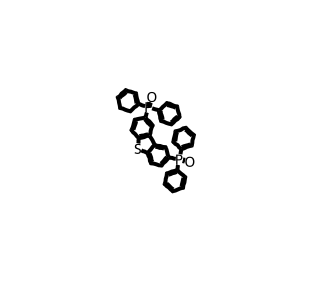 O=P(C1=CC=CCC1)(c1ccccc1)c1ccc2sc3ccc(P(=O)(c4ccccc4)c4ccccc4)cc3c2c1